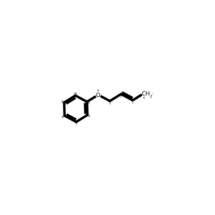 [CH2]C=CCOc1ccccc1